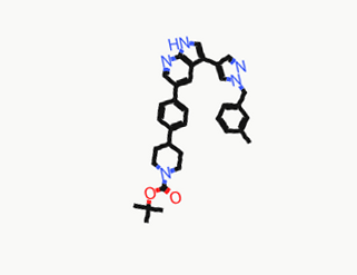 Cc1cccc(Cn2cc(-c3c[nH]c4ncc(-c5ccc(C6CCN(C(=O)OC(C)(C)C)CC6)cc5)cc34)cn2)c1